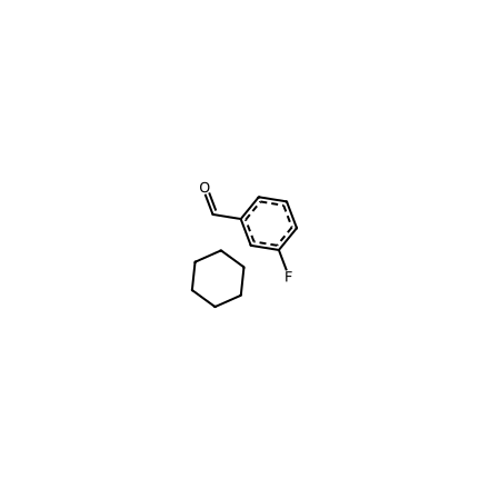 C1CCCCC1.O=Cc1cccc(F)c1